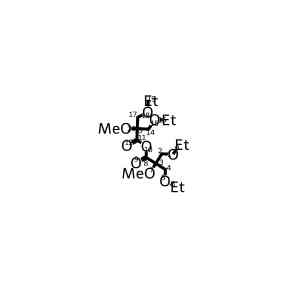 CCOCC(COCC)(OC)C(=O)OC(=O)C(COCC)(COCC)OC